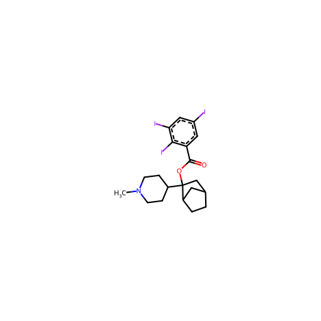 CN1CCC(C2(OC(=O)c3cc(I)cc(I)c3I)CC3CCC2C3)CC1